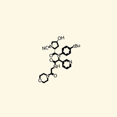 CC(C)(C)c1ccc(N(C(=O)[C@H]2C[C@@H](O)CN2C#N)C(C(=O)NCC(=O)N2CCOCC2)c2cccnc2)cc1